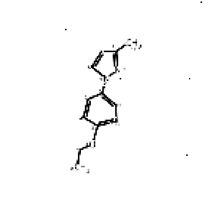 CCOc1ccc(-n2ccc(C)n2)cc1